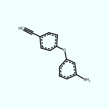 C#Cc1ccc(Oc2cccc(N)c2)cc1